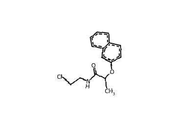 CC(Oc1ccc2ccccc2c1)C(=O)NCCCl